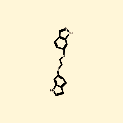 [CH](COc1ccc2cn[nH]c2c1)Oc1ccc2cc[nH]c2c1